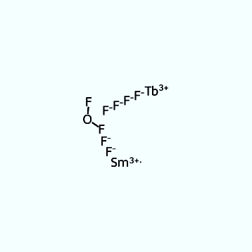 FOF.[F-].[F-].[F-].[F-].[F-].[F-].[Sm+3].[Tb+3]